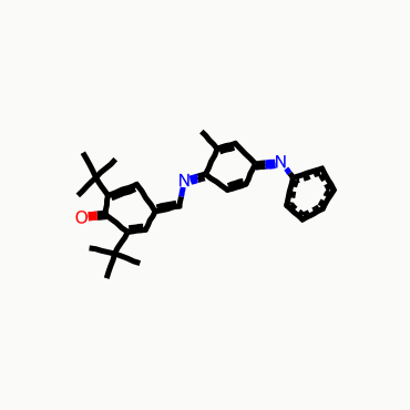 CC1=CC(=Nc2ccccc2)C=CC1=NC=C1C=C(C(C)(C)C)C(=O)C(C(C)(C)C)=C1